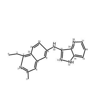 CCc1nc(C)cc2cc(Nc3n[nH]c4cccnc34)ccc12